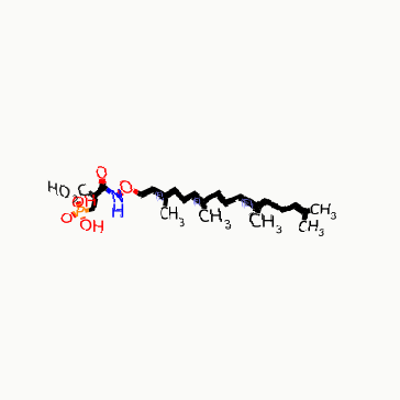 CC(C)=CCC/C(C)=C/CC/C(C)=C/CC/C(C)=C/CONC(=O)C(CP(=O)(O)O)C(=O)O